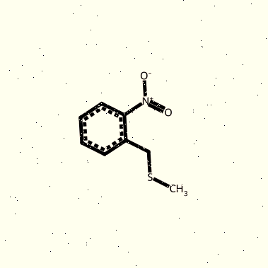 CSCc1ccccc1[N+](=O)[O-]